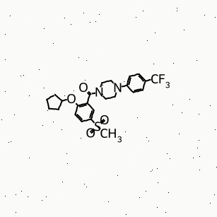 CS(=O)(=O)c1ccc(OC2CCCC2)c(C(=O)N2CCN(c3ccc(C(F)(F)F)cc3)CC2)c1